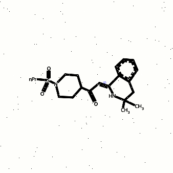 CCCS(=O)(=O)N1CCC(C(=O)/C=C2\NC(C)(C)Cc3ccccc32)CC1